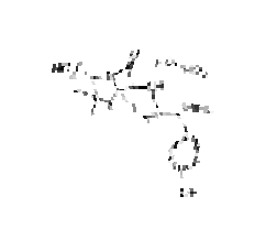 CC1(C)S[C@@H]2[C@H](NC(=O)[C@H](N)c3ccc(O)cc3)C(=O)N2[C@H]1C(=O)O.O=[N+]([O-])O